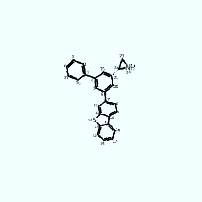 c1ccc(-c2cc(-c3ccc4c(c3)sc3ccccc34)cc([C@@H]3CN3)c2)cc1